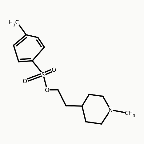 Cc1ccc(S(=O)(=O)OCCC2CCN(C)CC2)cc1